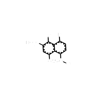 CCc1c(C(=O)O)cc(OC)c2c(OC(C)C)ccc(Br)c12